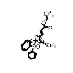 CCOC(=O)/C=C/CC(C)O[Si](c1ccccc1)(c1ccccc1)C(C)(C)C